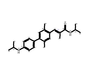 C/C(=C\c1cc(C)c(-c2ccc(NC(C)C)cc2)cc1C)C(=O)NC(C)C